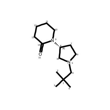 CC(C)(C)CN1CC[C@@H](N2CCCCC2=O)C1